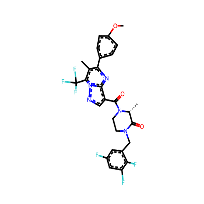 COc1ccc(-c2nc3c(C(=O)N4CCN(Cc5cc(F)cc(F)c5F)C(=O)[C@H]4C)cnn3c(C(F)(F)F)c2C)cc1